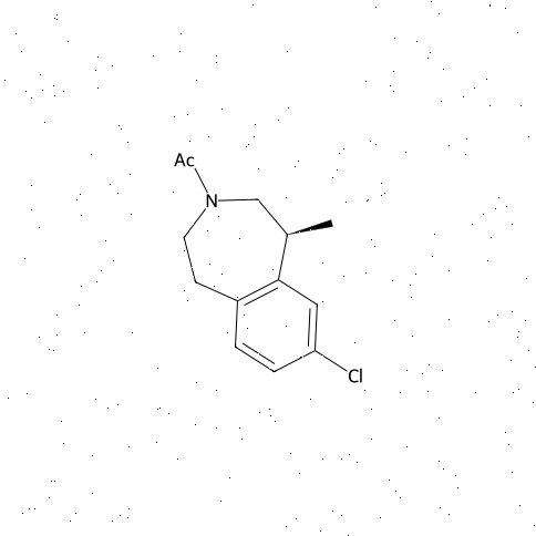 CC(=O)N1CCc2ccc(Cl)cc2[C@H](C)C1